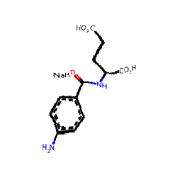 Nc1ccc(C(=O)N[C@@H](CCC(=O)O)C(=O)O)cc1.[NaH]